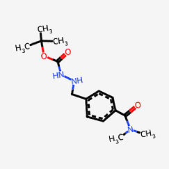 CN(C)C(=O)c1ccc(CNNC(=O)OC(C)(C)C)cc1